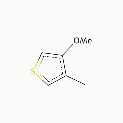 COc1cscc1C